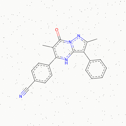 Cc1nn2c(=O)c(C)c(-c3ccc(C#N)cc3)[nH]c2c1-c1ccccc1